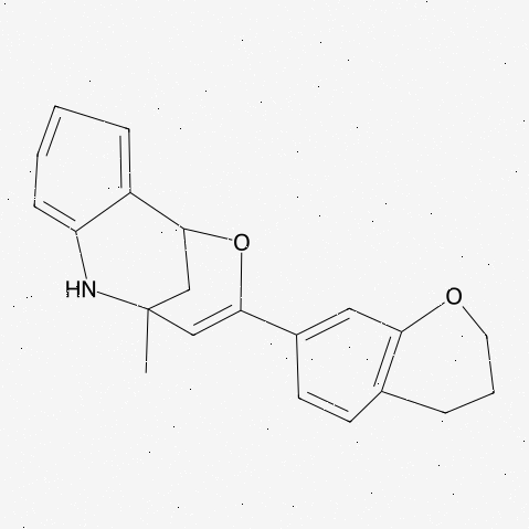 CC12C=C(c3ccc4c(c3)OCCC4)OC(C1)c1ccccc1N2